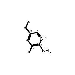 CCc1cnc(N)c(C)c1